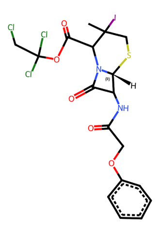 CC1(I)CS[C@@H]2C(NC(=O)COc3ccccc3)C(=O)N2C1C(=O)OC(Cl)(Cl)CCl